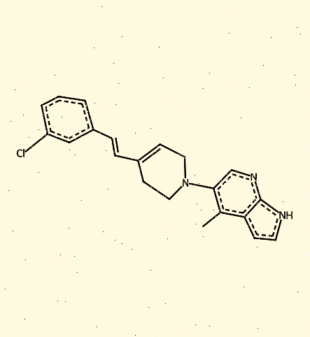 Cc1c(N2CC=C(C=Cc3cccc(Cl)c3)CC2)cnc2[nH]ccc12